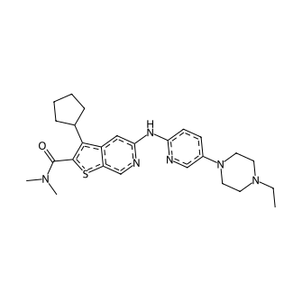 CCN1CCN(c2ccc(Nc3cc4c(C5CCCC5)c(C(=O)N(C)C)sc4cn3)nc2)CC1